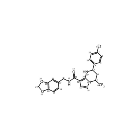 CCc1ccc(C2CC(C(F)(F)F)n3ncc(C(=O)NCc4ccc5c(c4)OCO5)c3N2)cc1